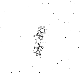 CC(F)(C1CCN(C(=O)Nc2cnoc2)CC1)[S+]([O-])c1cccc(F)c1